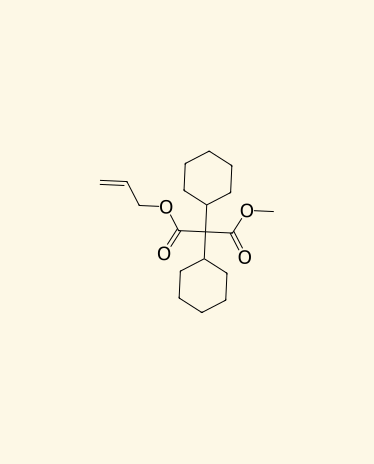 C=CCOC(=O)C(C(=O)OC)(C1CCCCC1)C1CCCCC1